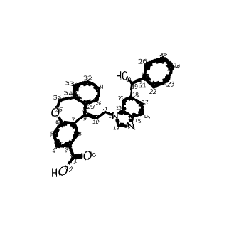 O=C(O)c1ccc2c(c1)/C(=C/Cn1cnc3ccc(C(O)c4ccccc4)cc31)c1ccccc1CO2